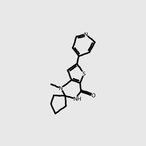 CN1c2cc(-c3ccncc3)sc2C(=O)NC12CCCC2